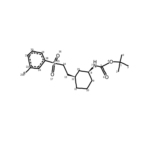 CC(C)(C)OC(=O)N[C@H]1CCC[C@@H](CCS(=O)(=O)c2cccc(F)c2)C1